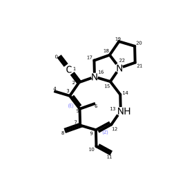 C=C=C1/C(C)=C(\C)C(=C)/C(C=C)=C\NCC2N1CC1CCCN12